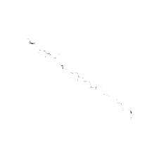 O=CCCOCCOCCOCCOCCOCCC=O